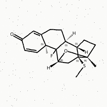 CS[C@]12C[C@H]3O[C@]1(C)CC[C@H]2[C@@H]1CCC2=CC(=O)C=C[C@]2(C)C31F